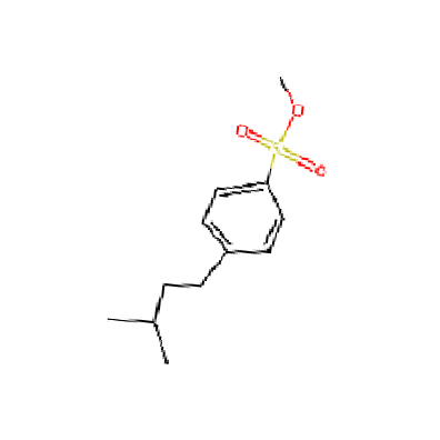 COS(=O)(=O)c1ccc(CCC(C)C)cc1